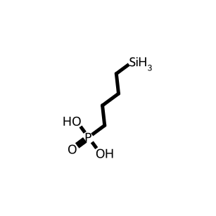 O=P(O)(O)CCCC[SiH3]